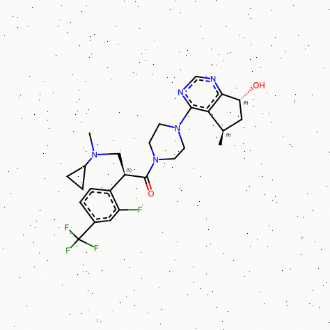 C[C@@H]1C[C@@H](O)c2ncnc(N3CCN(C(=O)[C@H](CN(C)C4CC4)c4ccc(C(F)(F)F)cc4F)CC3)c21